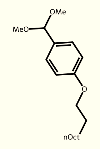 CCCCCCCCCCOc1ccc(C(OC)OC)cc1